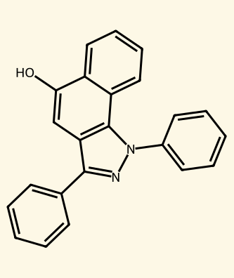 Oc1cc2c(-c3ccccc3)nn(-c3ccccc3)c2c2ccccc12